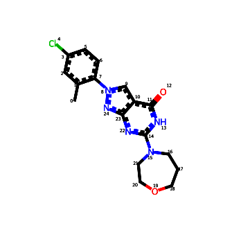 Cc1cc(Cl)ccc1-n1cc2c(=O)[nH]c(N3CCCOCC3)nc2n1